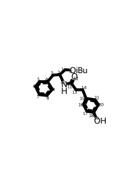 CC(C)COCC(Cc1ccccc1)NC(=O)CCc1ccc(O)cc1